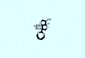 O=[N+]([O-])[O-].O[C@@H]1CO[C@H]2[C@@H]1OC[C@]2(O)C1OC=CC=CO1.[H+]